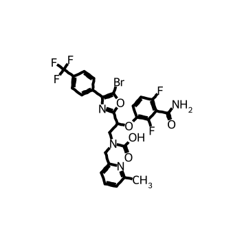 Cc1cccc(CN(CC(Oc2ccc(F)c(C(N)=O)c2F)c2nc(-c3ccc(C(F)(F)F)cc3)c(Br)o2)C(=O)O)n1